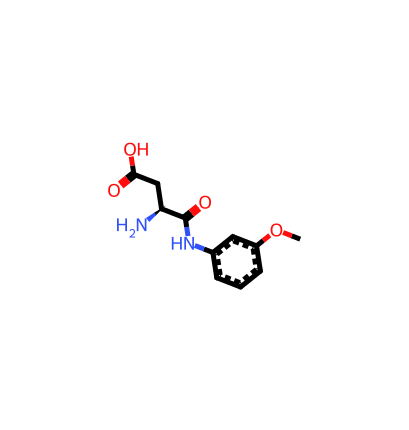 COc1cccc(NC(=O)[C@@H](N)CC(=O)O)c1